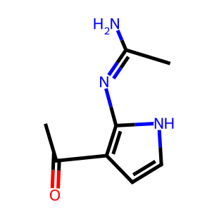 CC(=O)c1cc[nH]c1/N=C(\C)N